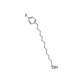 OCCCCCCCCCCCCCCc1ccc(F)cc1